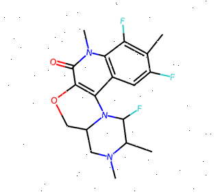 Cc1c(F)cc2c3c(c(=O)n(C)c2c1F)OCC1CN(C)C(C)C(F)N31